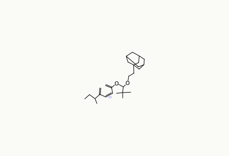 C=C(/C=C\C(=C)C(C)CC)OC(OCCC12CC3CC(CC(C3)C1)C2)C(C)(C)C